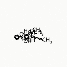 CCCCCCCCN(C(=O)OC(C)(C)C)[C@@H]1C=C2COC(c3ccccc3)O[C@@H]2C(O)[C@@H]1O